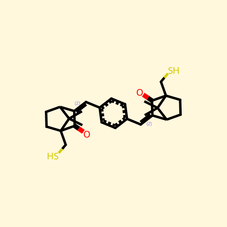 CC1(C)C2CCC1(CS)C(=O)/C2=C\c1ccc(/C=C2\C(=O)C3(CS)CCC2C3(C)C)cc1